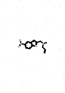 C=CCN(C)Cc1cc2cc([N+](=O)[O-])ccc2o1